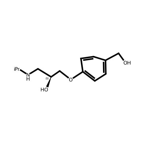 CC(C)NC[C@H](O)COc1ccc(CO)cc1